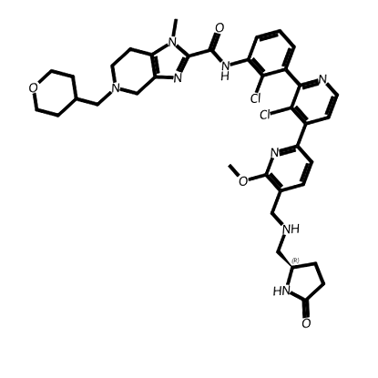 COc1nc(-c2ccnc(-c3cccc(NC(=O)c4nc5c(n4C)CCN(CC4CCOCC4)C5)c3Cl)c2Cl)ccc1CNC[C@H]1CCC(=O)N1